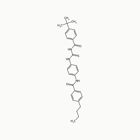 CCCCc1ccc(C(=O)Nc2ccc(NC(=S)NC(=O)c3ccc(C(C)(C)C)cc3)cc2)cc1